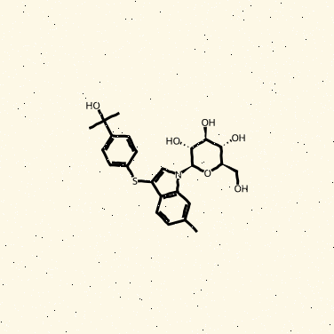 Cc1ccc2c(Sc3ccc(C(C)(C)O)cc3)cn([C@@H]3O[C@H](CO)[C@@H](O)[C@H](O)[C@H]3O)c2c1